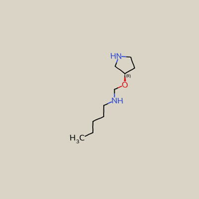 CCCCCNCO[C@@H]1CCNC1